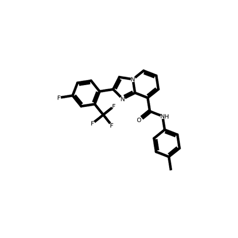 Cc1ccc(NC(=O)c2cccn3cc(-c4ccc(F)cc4C(F)(F)F)nc23)cc1